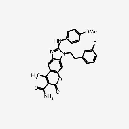 COc1ccc(Nc2nc3cc4c(C)c(C(N)=O)c(=O)oc4cc3n2CCc2cccc(Cl)c2)cc1